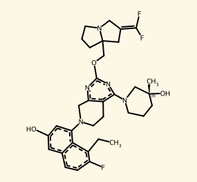 CCc1c(F)ccc2cc(O)cc(N3CCc4c(nc(OCC56CCCN5CC(=C(F)F)C6)nc4N4CCC[C@@](C)(O)C4)C3)c12